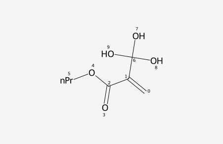 C=C(C(=O)OCCC)C(O)(O)O